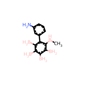 Bc1c(B)c(B)c(-c2cccc(N)c2)c(BC)c1B